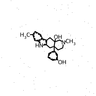 Cc1ccc2c3c([nH]c2c1)CC1(c2cccc(O)c2)CCN(C)CC1(O)C3